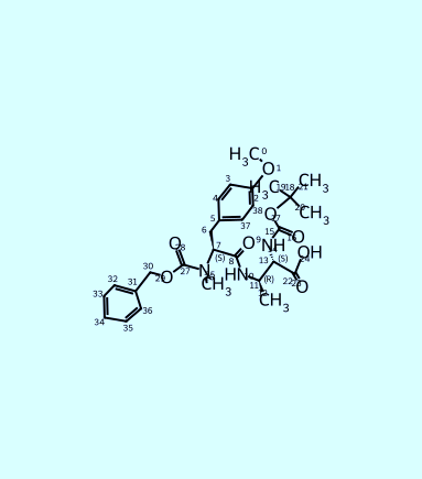 COc1ccc(C[C@@H](C(=O)N[C@H](C)[C@H](NC(=O)OC(C)(C)C)C(=O)O)N(C)C(=O)OCc2ccccc2)cc1